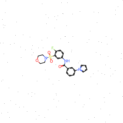 O=C(Nc1ccc(F)c(S(=O)(=O)N2CCOCC2)c1)c1cccc(-n2cccc2)c1